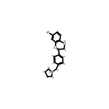 Fc1ccc2c(c1)OC(c1ccc(CN3CCCC3)cc1)CO2